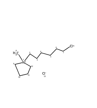 C[N+]1(CCCCCCCl)CCCC1.[Cl-]